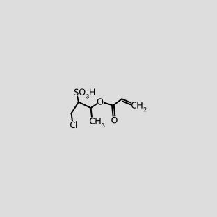 C=CC(=O)OC(C)C(CCl)S(=O)(=O)O